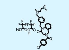 CN(C)CCN(C)Cc1cccc(CN2C(=O)CN(C(=O)c3ccc(Cl)cc3)Cc3ccccc32)c1.O=C(O)C(F)(F)F.O=C(O)C(F)(F)F